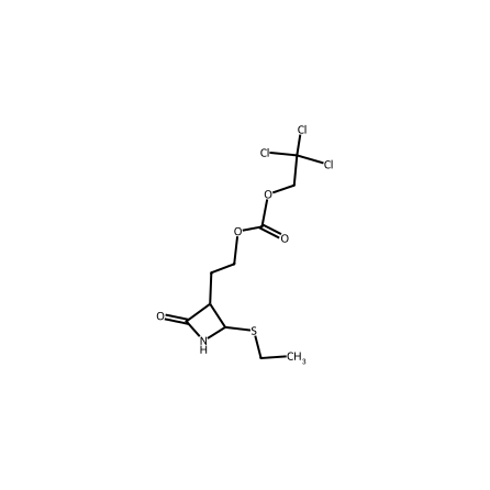 CCSC1NC(=O)C1CCOC(=O)OCC(Cl)(Cl)Cl